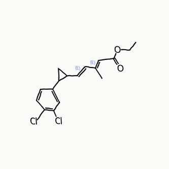 CCOC(=O)/C=C(C)/C=C/C1CC1c1ccc(Cl)c(Cl)c1